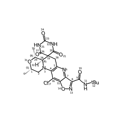 C[C@H]1CN2c3c(nc4c(C(=O)NC(C)(C)C)noc4c3Cl)CC3(C(=O)NC(=O)NC3=O)[C@@H]2[C@@H](C)O1